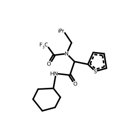 CC(C)CN(C(=O)C(F)(F)F)C(C(=O)NC1CCCCC1)c1cccs1